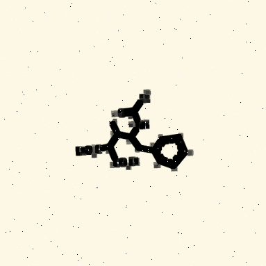 CCOC(=O)C(C(=O)OCC)C(C)C(Cc1ccccc1)NC(=O)CC